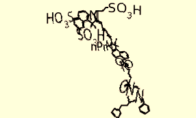 CCC[N+]1=C(/C=C/C=C/C=C2/N(CCCS(=O)(=O)O)c3ccc4c(S(=O)(=O)O)cc(S(=O)(=O)O)cc4c3C2(C)C)C(C)(C)c2c1ccc1c(S(=O)(=O)N(C)CCCC(=O)N3CCN(Cc4ccccc4)CC(CCc4ccccc4)C3)cccc21